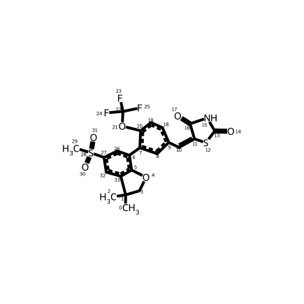 CC1(C)COc2c(-c3cc(/C=C4/SC(=O)NC4=O)ccc3OC(F)(F)F)cc(S(C)(=O)=O)cc21